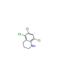 Clc1cc(Cl)c2c(c1Cl)CCCN2